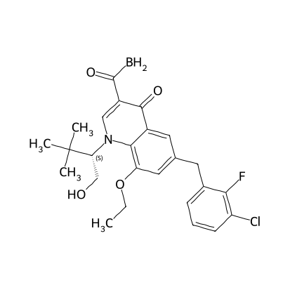 BC(=O)c1cn([C@H](CO)C(C)(C)C)c2c(OCC)cc(Cc3cccc(Cl)c3F)cc2c1=O